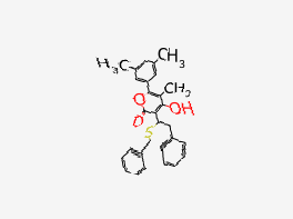 Cc1cc(C)cc(-c2oc(=O)c(C(Cc3ccccc3)SCc3ccccc3)c(O)c2C)c1